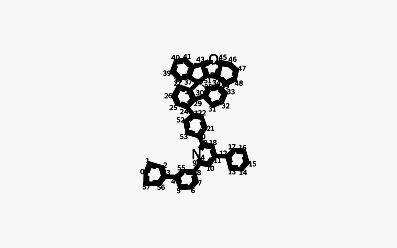 c1ccc(-c2cccc(-c3cc(-c4ccccc4)cc(-c4ccc(-c5cccc6c5-c5ccccc5[C@@]65c6ccccc6-c6oc7ccccc7c65)cc4)n3)c2)cc1